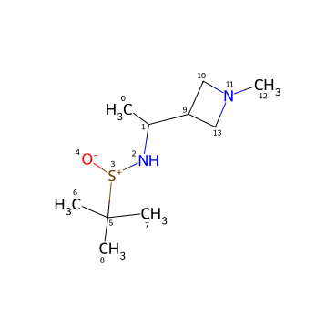 CC(N[S+]([O-])C(C)(C)C)C1CN(C)C1